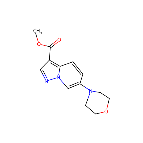 COC(=O)c1cnn2cc(N3CCOCC3)ccc12